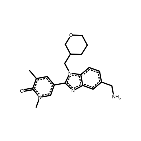 Cc1cc(-c2nc3cc(CN)ccc3n2CC2CCCOC2)cn(C)c1=O